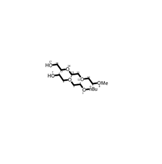 CCCCOCCOCCO.COCCOCCOCCO